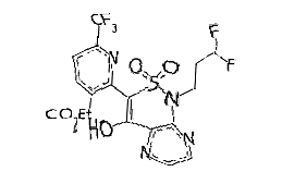 CCOC(=O)c1ccc(C(F)(F)F)nc1C1=C(O)c2nccnc2N(CCC(F)F)S1(=O)=O